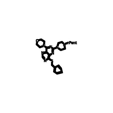 CCCCCN1CCN(c2nc(N3CCOCC3)c3ncnc(SCc4ccccc4)c3n2)CC1